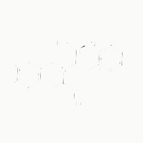 CC(C)(C)OC(=O)N(Cc1ccccc1)[C@@H](Cc1ccccc1)[C@@H](O)C#N